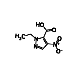 CCn1ncc([N+](=O)[O-])c1C(=O)O